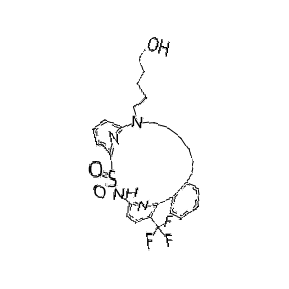 O=S1(=O)Nc2ccc(C(F)(F)F)c(n2)-c2ccccc2CCCCCCN(CCCCCO)c2cccc1n2